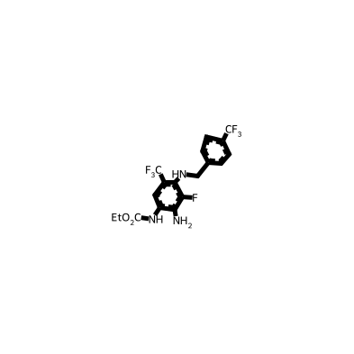 CCOC(=O)Nc1cc(C(F)(F)F)c(NCc2ccc(C(F)(F)F)cc2)c(F)c1N